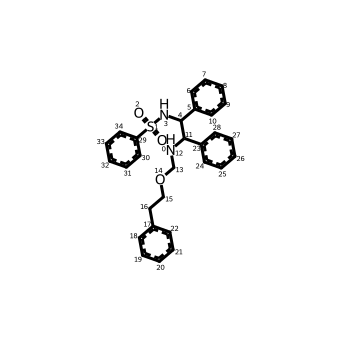 O=S(=O)(NC(c1ccccc1)C(NCOCCc1ccccc1)c1ccccc1)c1ccccc1